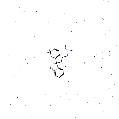 CN(CCCC1(C2=CC=CC(C)(C)C2)SCc2ccccc21)CC(=O)O